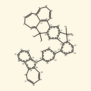 CC1(C)C2=CCC=CC3=CCC=CC(=C32)c2cc3c(cc21)-c1c(-c2ccc(-n4c5c(c6ccccc64)CC=CC=C5)cc2)cccc1C3(C)C